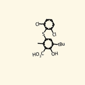 Cc1c(Sc2c(Cl)cccc2Cl)cc(C(C)(C)C)c(O)c1C(=O)O